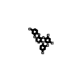 Clc1ccc(Oc2nnnc(Oc3ccc(Cl)cc3Cl)c2Oc2ccc(Cl)cc2Cl)c(Cl)c1